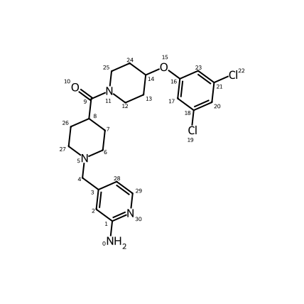 Nc1cc(CN2CCC(C(=O)N3CCC(Oc4cc(Cl)cc(Cl)c4)CC3)CC2)ccn1